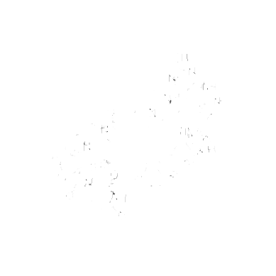 Cc1nc(Nc2ncc(C(=O)Nc3ccc(Oc4ccccc4)cc3C)s2)cc(N2CCN(CCCC(=O)N3CCN(c4cccc5c4C(=O)N(C4CCC(=O)NC4=O)C5=O)CC3)CC2)n1